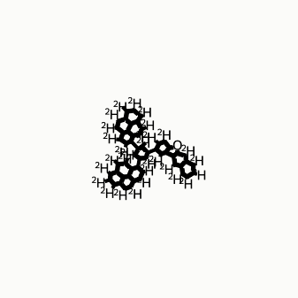 [2H]c1c(-c2c([2H])c([2H])c3oc4c([2H])c5c([2H])c([2H])c([2H])c([2H])c5c([2H])c4c3c2[2H])c([2H])c(-c2c([2H])c([2H])c3c([2H])c([2H])c4c([2H])c([2H])c([2H])c5c([2H])c([2H])c2c3c45)c([2H])c1-c1c([2H])c([2H])c2c([2H])c([2H])c3c([2H])c([2H])c([2H])c4c([2H])c([2H])c1c2c34